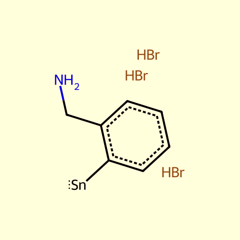 Br.Br.Br.NCc1cccc[c]1[Sn]